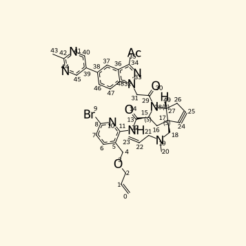 C=CCOCc1ccc(Br)nc1NC(=O)[C@@H]1C[C@@]2(CN(C)CC=C)C#CC[C@H]2N1C(=O)Cn1nc(C(C)=O)c2cc(-c3cnc(C)nc3)ccc21